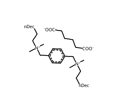 CCCCCCCCCCCC[N+](C)(C)Cc1ccc(C[N+](C)(C)CCCCCCCCCCCC)cc1.O=C([O-])CCCCC(=O)[O-]